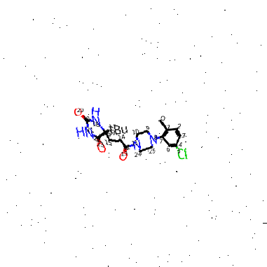 Cc1ccc(Cl)cc1N1CCN(C(=O)CCC2(C(C)(C)C)NC(=O)NC2=O)CC1